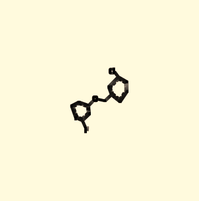 Fc1[c]ccc(OCc2cccc(Cl)c2)c1